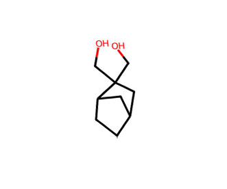 OCC1(CO)CC2[CH]CC1C2